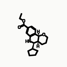 CCOC(=O)c1ccc2c(c1)N[C@H](C1CCCC1)[C@@H]1CCCO[C@H]21